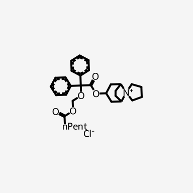 CCCCCC(=O)OCOC(C(=O)OC1CC2CCC(C1)[N+]21CCCC1)(c1ccccc1)c1ccccc1.[Cl-]